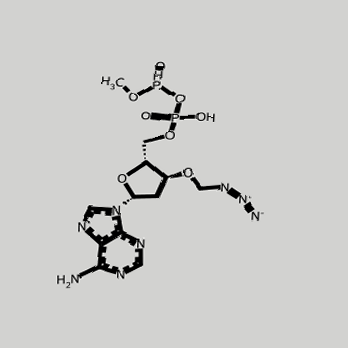 CO[PH](=O)OP(=O)(O)OC[C@H]1O[C@@H](n2cnc3c(N)ncnc32)C[C@@H]1OCN=[N+]=[N-]